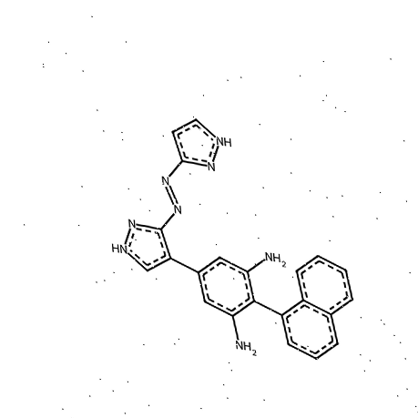 Nc1cc(-c2c[nH]nc2N=Nc2cc[nH]n2)cc(N)c1-c1cccc2ccccc12